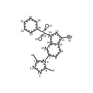 Cc1nnc(C)n1-c1ccc2c(Br)cn(S(=O)(=O)c3ccccc3)c2n1